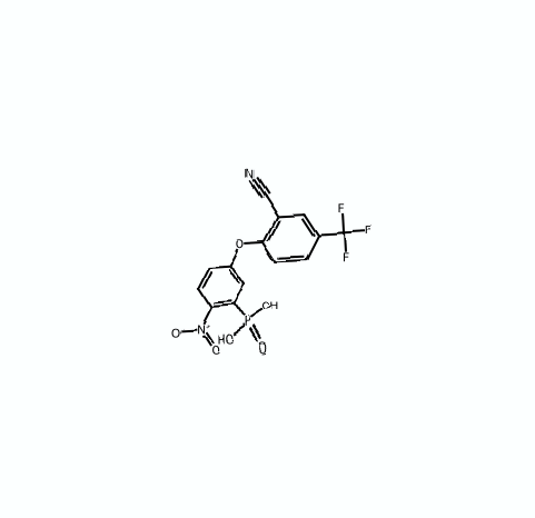 N#Cc1cc(C(F)(F)F)ccc1Oc1ccc([N+](=O)[O-])c(P(=O)(O)O)c1